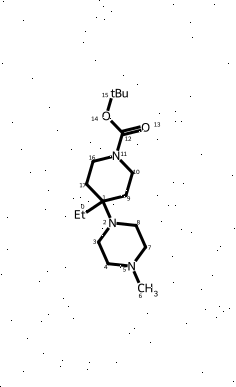 CCC1(N2CCN(C)CC2)CCN(C(=O)OC(C)(C)C)CC1